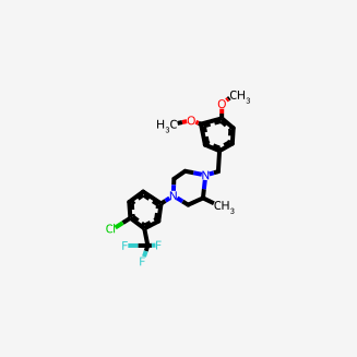 COc1ccc(CN2CCN(c3ccc(Cl)c(C(F)(F)F)c3)CC2C)cc1OC